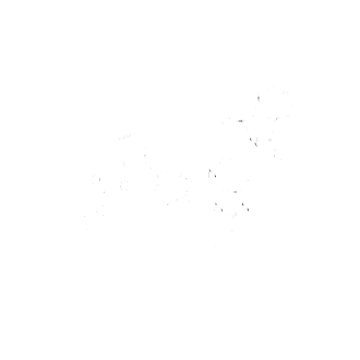 CCCCc1nc2cc(N3C(=O)c4ccccc4C3=O)cnc2n1Cc1ccc(-c2ccccc2OC(=O)OC(C)(C)C)cc1